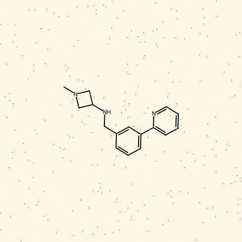 CN1CC(NCc2cccc(-c3ccccn3)c2)C1